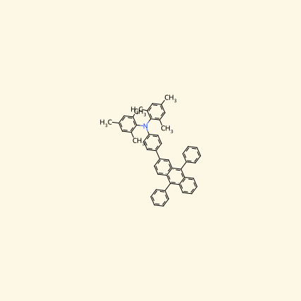 Cc1cc(C)c(N(c2ccc(-c3ccc4c(-c5ccccc5)c5ccccc5c(-c5ccccc5)c4c3)cc2)c2c(C)cc(C)cc2C)c(C)c1